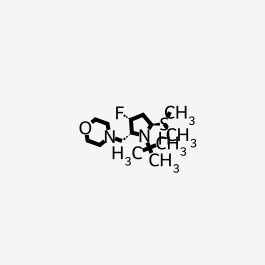 C[SH](C)[C@@H]1C[C@@H](F)[C@@H](CN2CCOCC2)N1C(C)(C)C